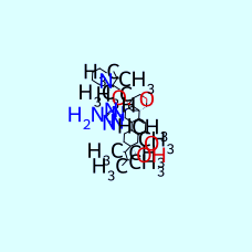 CC(C)[C@@H](C)[C@@]1(C)CC[C@]2(C)[C@H]3CC[C@@H]4[C@@]5(COC[C@@]4(C)[C@@H](OC[C@](C)(C(C)C)N4CCCCC4)[C@H](n4nnc(N)n4)C5)C3=CC[C@@]2(C)[C@@H]1C(=O)O